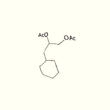 CC(=O)OCC(CC1CCCCC1)OC(C)=O